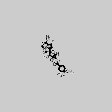 CC1(C)CCC(C(=O)OC2[C@H]3O[C@@](C#N)(c4cc(F)c5c(N)ncnn45)[C@H](O)[C@@]23O)CC1